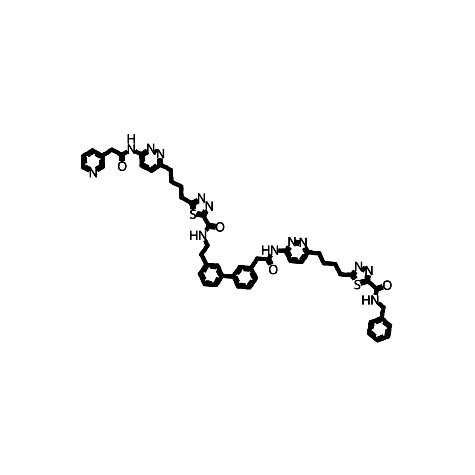 O=C(Cc1cccnc1)Nc1ccc(CCCCc2nnc(C(=O)NCCc3cccc(-c4cccc(CC(=O)Nc5ccc(CCCCc6nnc(C(=O)NCc7ccccc7)s6)nn5)c4)c3)s2)nn1